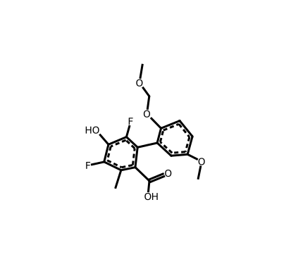 COCOc1ccc(OC)cc1-c1c(F)c(O)c(F)c(C)c1C(=O)O